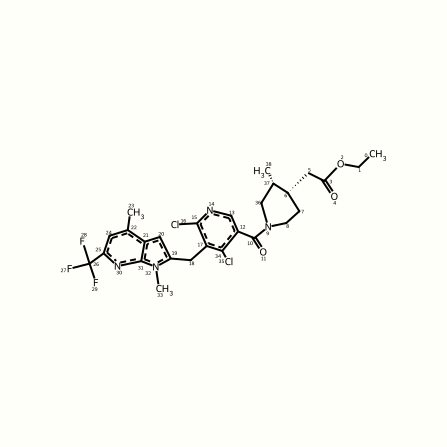 CCOC(=O)C[C@@H]1CCN(C(=O)c2cnc(Cl)c(Cc3cc4c(C)cc(C(F)(F)F)nc4n3C)c2Cl)C[C@@H]1C